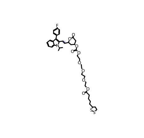 CC(C)n1c(/C=C/C2CC(OC(=O)OCCOCCOCCOCCOC(=O)CCCCC3CCSS3)CC(=O)O2)c(-c2ccc(F)cc2)c2ccccc21